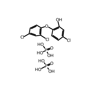 O=P(O)(O)O.O=P(O)(O)O.Oc1cc(Cl)ccc1Oc1ccc(Cl)cc1Cl